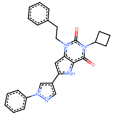 O=c1c2[nH]c(-c3cnn(-c4ccccc4)c3)cc2n(CCc2ccccc2)c(=O)n1C1CCC1